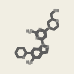 Cc1nc(N2CCOC(CO)C2)cc(-n2ncc3cc(C)c(C4CCCCO4)cc32)n1